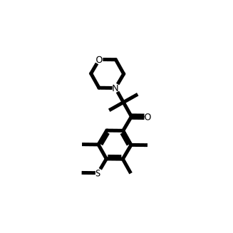 CSc1c(C)cc(C(=O)C(C)(C)N2CCOCC2)c(C)c1C